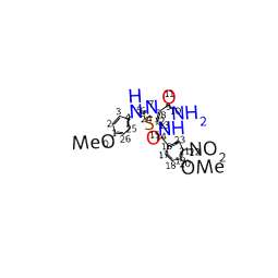 COc1ccc(Nc2nc(C(N)=O)c(NC(=O)c3ccc(OC)c([N+](=O)[O-])c3)s2)cc1